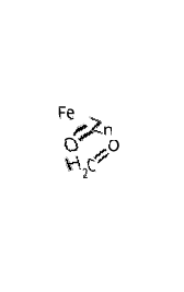 C=O.[Fe].[O]=[Zn]